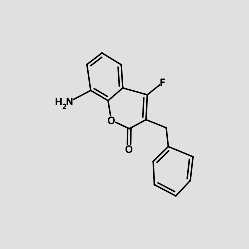 Nc1cccc2c(F)c(Cc3ccccc3)c(=O)oc12